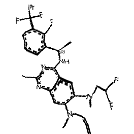 C=CN(C)c1cc2nc(C)nc(N[C@H](C)c3cccc(C(F)(F)C(C)C)c3F)c2cc1N(C)CC(F)F